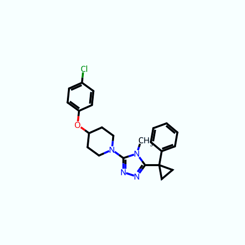 Cn1c(N2CCC(Oc3ccc(Cl)cc3)CC2)nnc1C1(c2ccccc2)CC1